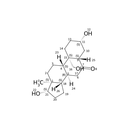 C[C@]12CC[C@H]3[C@@H](CC(=O)[C@H]4C[C@@H](O)CC[C@@]43CO)[C@@H]1CC[C@@H]2O